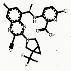 Cc1cc([C@@H](C)Nc2ccc(Cl)nc2C(=O)O)c2nc(N3CC4CC4(C(F)(F)F)C3)c(C#N)nc2c1